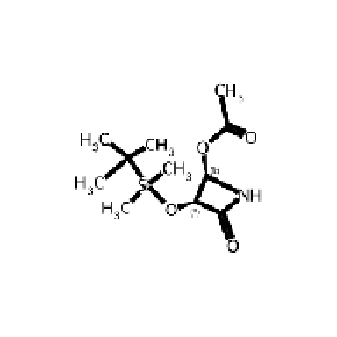 CC(=O)O[C@H]1NC(=O)[C@H]1O[Si](C)(C)C(C)(C)C